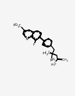 C=C(C)CC(C)(N)Cc1ccc(-c2ccc3cc(C(=O)O)cnc3c2F)cc1